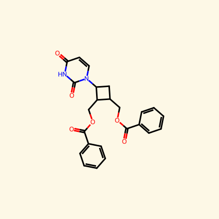 O=C(OCC1CC(n2ccc(=O)[nH]c2=O)C1COC(=O)c1ccccc1)c1ccccc1